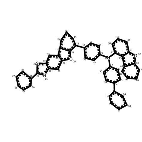 c1ccc(-c2ccc(N(c3ccc(-c4cccc5c4oc4cc6nc(-c7ccccc7)sc6cc45)cc3)c3cccc4oc5ccccc5c34)cc2)cc1